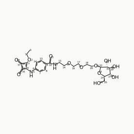 CCOc1c(Nc2ccc(C(=O)NCCOCCOCCOC3O[C@H](CO)[C@@H](O)[C@H](O)[C@H]3O)cc2)c(=O)c1=O